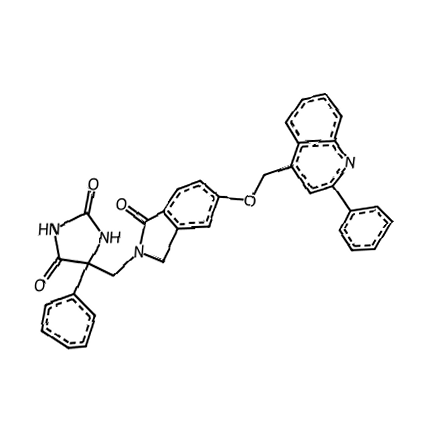 O=C1NC(=O)C(CN2Cc3cc(OCc4cc(-c5ccccc5)nc5ccccc45)ccc3C2=O)(c2ccccc2)N1